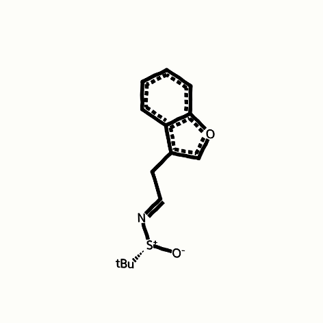 CC(C)(C)[S@@+]([O-])N=CCc1coc2ccccc12